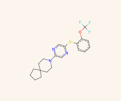 FC(F)(F)Oc1ccccc1Sc1cnc(N2CCC3(CCCC3)CC2)cn1